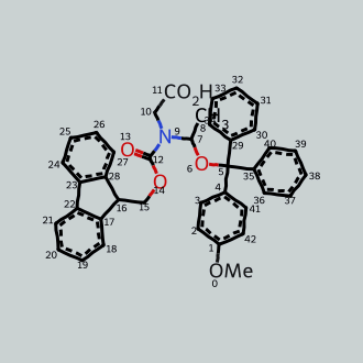 COc1ccc(C(OC(C)N(CC(=O)O)C(=O)OCC2c3ccccc3-c3ccccc32)(c2ccccc2)c2ccccc2)cc1